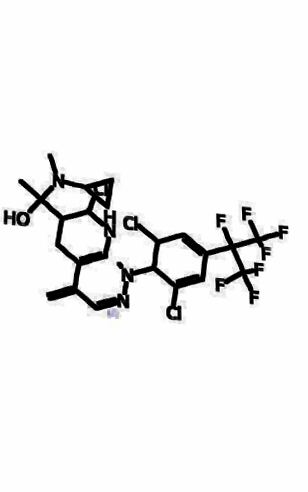 C=C(/C=N\N(C)C1C(Cl)=CC(C(F)(C(F)(F)F)C(F)(F)F)=CC1Cl)C1=CNC(Cl)C(C(C)(O)N(C)C2CC2)C1